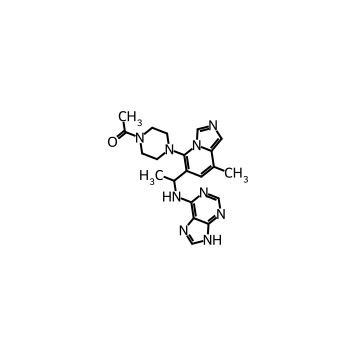 CC(=O)N1CCN(c2c(C(C)Nc3ncnc4[nH]cnc34)cc(C)c3cncn23)CC1